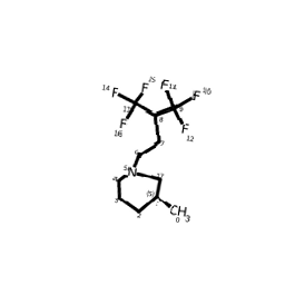 C[C@H]1CCCN(CCC(C(F)(F)F)C(F)(F)F)C1